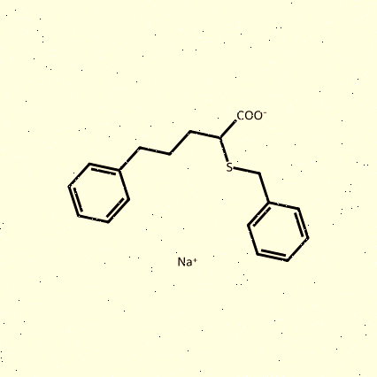 O=C([O-])C(CCCc1ccccc1)SCc1ccccc1.[Na+]